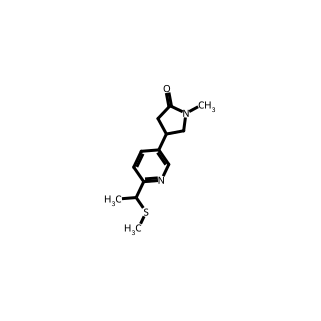 CSC(C)c1ccc(C2CC(=O)N(C)C2)cn1